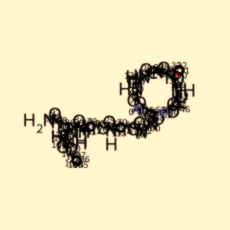 C/C=C(\C)[C@H]1OC(=O)[C@@H](C)NC(=O)[C@H](C(C)CC)NC(=O)CN(C)C(=O)C(Cc2ccccc2)N(C)C(=O)[C@H](C)NC(=O)[C@@H](CC(C)C)OC(=O)/C(C)=C/C[C@H](OC(=O)N(C)CCN(C)C(=O)OCc2ccc(NC(=O)OCc3ccc(NC(=O)[C@H](CCCNC(N)=O)NC(=O)[C@@H](NC(=O)OCc4ccccc4)C(C)C)cc3)cc2)[C@@H]1C